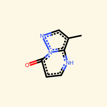 Cc1cnn2c(=O)cc[nH]c12